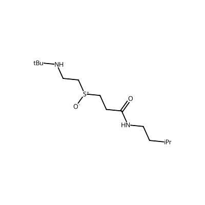 CC(C)CCNC(=O)CC[S+]([O-])CCNC(C)(C)C